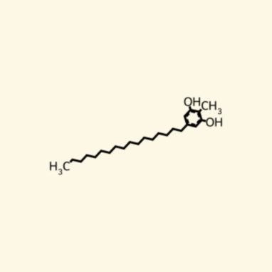 CCCCCCCCCCCCCCCCCc1cc(O)c(C)c(O)c1